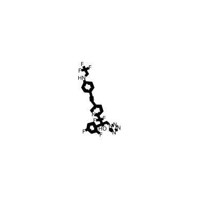 OC(Cn1cnnn1)(c1ccc(F)cc1F)C(F)(F)c1ccc(C#Cc2ccc(NCC(F)(F)F)cc2)cn1